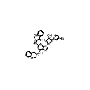 CCc1cnn([C@H]2C[C@@H](n3cnc4c(N[C@H](CO)Cc5ccccc5)nc(N[C@H](CO)Cc5ccccc5)nc43)[C@H](O)[C@@H]2O)c1